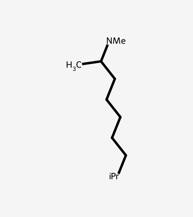 CNC(C)CCCCCC(C)C